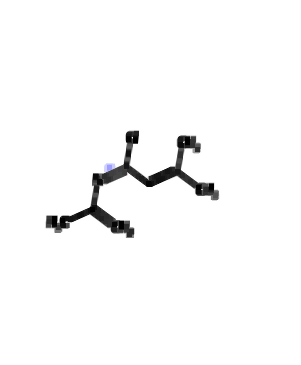 C=C(C)/N=C(/Cl)C=C(C)C